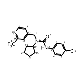 O=C(Nc1ccc(Cl)cc1)N(Cc1ccnc(C(F)(F)F)c1)C1CCCC1